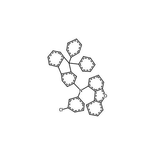 Clc1cccc(N(c2ccc3c(c2)C(c2ccccc2)(c2ccccc2)c2ccccc2-3)c2cccc3oc4ccccc4c23)c1